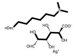 CCCCCCCCCCCCCCCCN(C)C.O=C[C@H](O)[C@@H](O)[C@H](O)[C@H](O)C(=O)[O-].[Ag+]